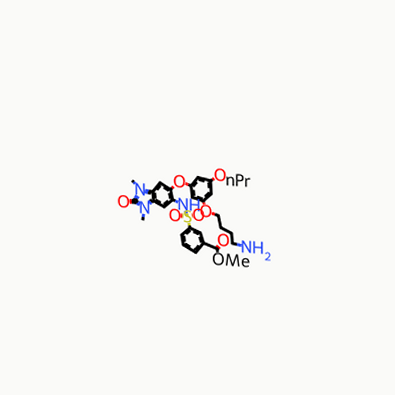 CCCOc1cc(OCCCCN)cc(Oc2cc3c(cc2NS(=O)(=O)c2cccc(C(=O)OC)c2)n(C)c(=O)n3C)c1